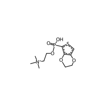 C[N+](C)(C)CCOP(=O)(O)c1scc2c1OCCO2